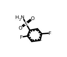 NS(=O)(=O)c1cc(F)[c]cc1F